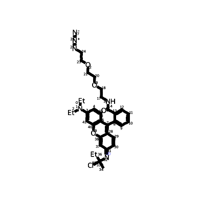 CCN(CC)c1ccc2c(-c3ccccc3C(=O)NCCOCCOCCN=[N+]=[N-])c3cc/c(=N/C(C)(Cl)CC)cc-3oc2c1